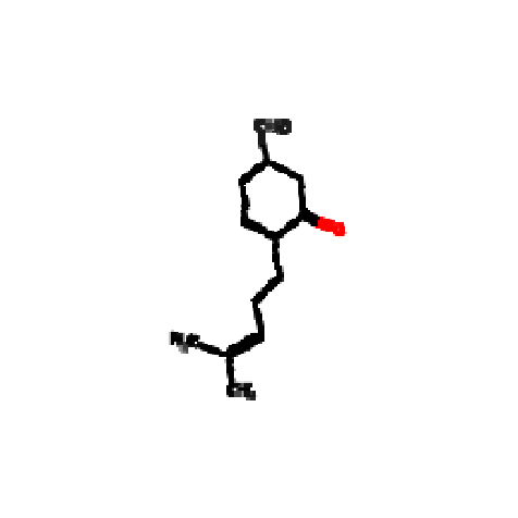 CC(C)=CCCC1CCC(C=O)CC1=O